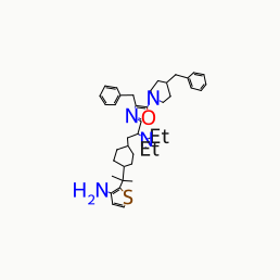 CCN(CC)C(CC1CCC(C(C)(C)c2sccc2N)CC1)c1nc(Cc2ccccc2)c(N2CCC(Cc3ccccc3)CC2)o1